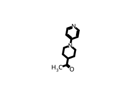 CC(=O)C1CCN(c2ccncc2)CC1